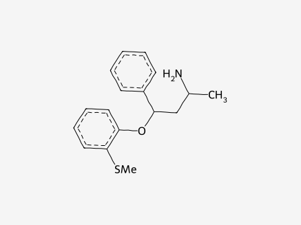 CSc1ccccc1OC(CC(C)N)c1ccccc1